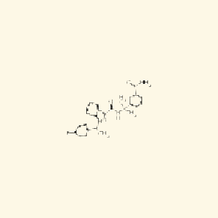 CC(c1ccc(F)cc1)n1nc(C(=O)NC(C)(C)c2cccc(C(N)=O)c2)c2ccccc21